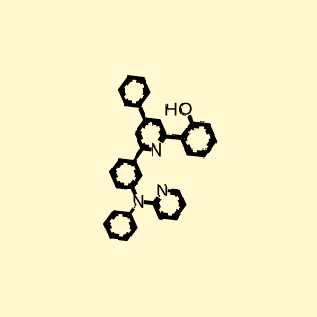 Oc1ccccc1-c1cc(-c2ccccc2)cc(-c2cccc(N(c3ccccc3)c3ccccn3)c2)n1